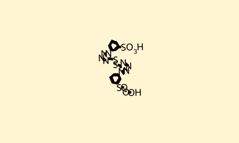 O=S(=O)(O)c1cccc(-n2nnnc2SSc2nnnn2-c2cccc(SOOO)c2)c1